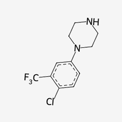 FC(F)(F)c1cc(N2CCNCC2)ccc1Cl